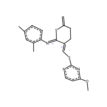 C=C1CCC(=C\Sc2nccc(OC)n2)/C(=N/c2ccc(C)cc2C)S1